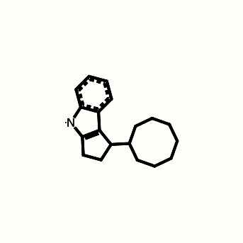 c1ccc2c(c1)[N]C1=C2C(C2CCCCCCC2)CC1